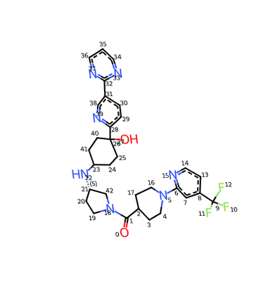 O=C(C1CCN(c2cc(C(F)(F)F)ccn2)CC1)N1CC[C@H](NC2CCC(O)(c3ccc(-c4ncccn4)cn3)CC2)C1